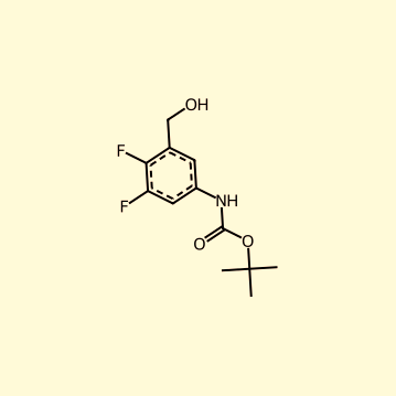 CC(C)(C)OC(=O)Nc1cc(F)c(F)c(CO)c1